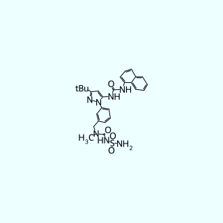 CN(Cc1cccc(-n2nc(C(C)(C)C)cc2NC(=O)Nc2cccc3ccccc23)c1)C(=O)NS(N)(=O)=O